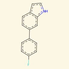 Fc1ccc(-c2ccc3c[c][nH]c3c2)cc1